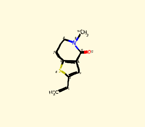 C=Cc1cc2c(s1)CCN(C)C2=O